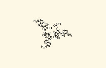 CO[C@H]1[C@@H](OP(=O)(O)OC[C@H]2O[C@@H](n3cnc4c(N)ncnc43)[C@H](OP(=O)(O)OC[C@H]3O[C@@H](n4cnc5c(N)ncnc54)[C@H](O)[C@@H]3O)[C@@H]2OC)[C@H](n2cnc3c(N)ncnc32)O[C@@H]1CCC(=O)O